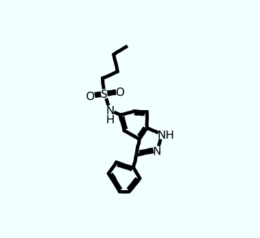 CCCCS(=O)(=O)Nc1ccc2[nH]nc(-c3ccccc3)c2c1